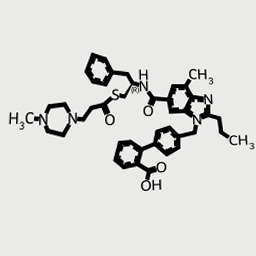 CCCc1nc2c(C)cc(C(=O)N[C@@H](CSC(=O)CCN3CCN(C)CC3)Cc3ccccc3)cc2n1Cc1ccc(-c2ccccc2C(=O)O)cc1